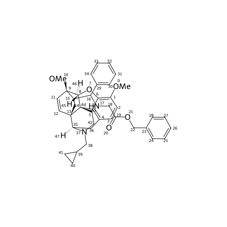 COc1ccc2c3c1O[C@H]1[C@@]4(OC)C=C[C@@]5(C[C@@H]4C(NCC(=O)OCc4ccccc4)c4ccccc4)[C@@H](C2)N(CC2CC2)CC[C@]315